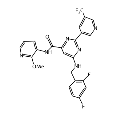 COc1ncccc1NC(=O)c1cc(NCc2ccc(F)cc2F)nc(-c2cncc(C(F)(F)F)c2)n1